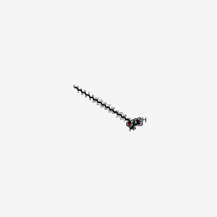 CCCCCCCCCCCCCCCCCCCCCCCCCCCCC(=O)OC(CS(=O)(=O)O)C(F)(F)F